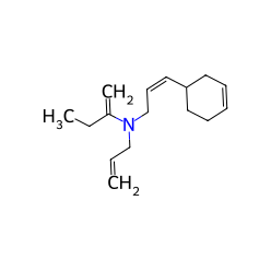 C=CCN(C/C=C\C1CC=CCC1)C(=C)CC